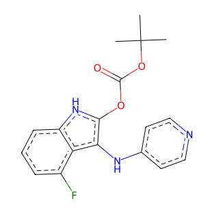 CC(C)(C)OC(=O)Oc1[nH]c2cccc(F)c2c1Nc1ccncc1